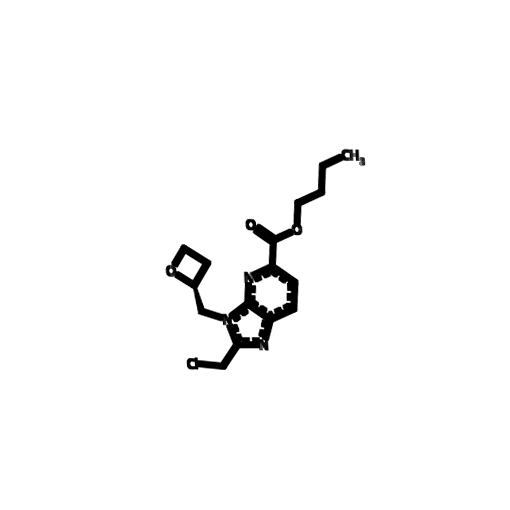 CCCCOC(=O)c1ccc2nc(CCl)n(C[C@@H]3CCO3)c2n1